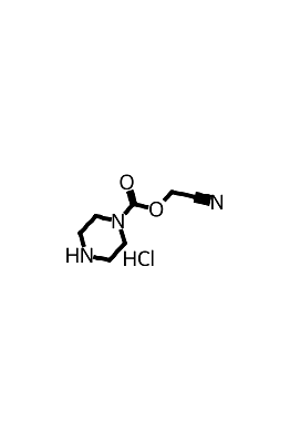 Cl.N#CCOC(=O)N1CCNCC1